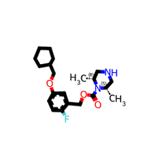 C[C@@H]1CNC[C@H](C)N1C(=O)OCc1cc(OCC2CCCCC2)ccc1F